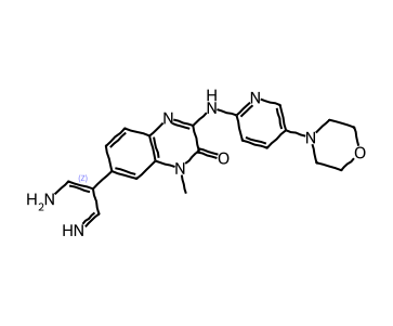 Cn1c(=O)c(Nc2ccc(N3CCOCC3)cn2)nc2ccc(/C(C=N)=C/N)cc21